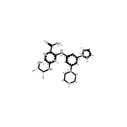 C[C@H](N)[C@@H](C)Nc1cnc(C(N)=O)c(Nc2cc(N3CCOCC3)cc(-n3nccn3)c2)n1